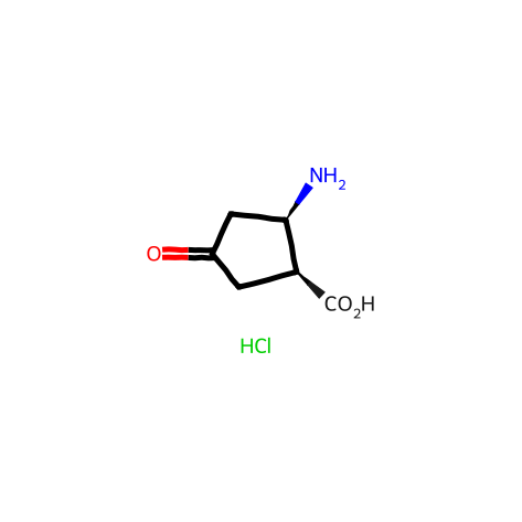 Cl.N[C@@H]1CC(=O)C[C@@H]1C(=O)O